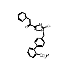 CCCCc1nc(C(=O)Cc2ccccc2)nn1Cc1ccc(-c2ccccc2C(=O)O)cc1